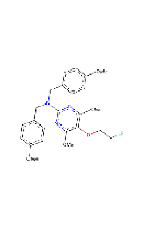 COc1ccc(CN(Cc2ccc(OC)cc2)c2nc(OC)c(OCCF)c(OC)n2)cc1